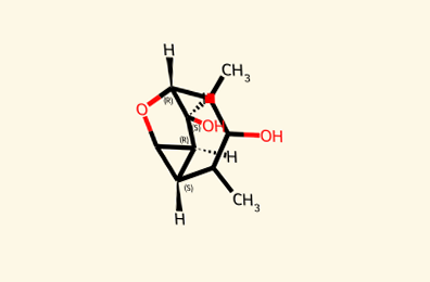 CC1C(O)C(C)[C@H]2OC3[C@@H]1[C@@H]3[C@@H]2O